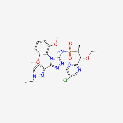 CCO[C@H](c1ncc(Cl)cn1)[C@H](C)S(=O)(=O)Nc1nnc(-c2ccn(CC)n2)n1-c1c(OC)cccc1OC